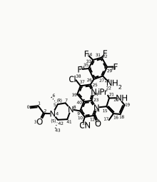 C=CC(=O)N1[C@H](C)CN(c2c(C#N)c(=O)n(C3=C(C)C=CNC3C(C)C)c3nc(-c4c(N)c(F)c(F)c(F)c4F)c(Cl)cc23)C[C@@H]1C